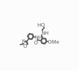 COc1ccc(C(=O)Nc2cccc(-c3coc(C)n3)c2)c(CNCCO)c1